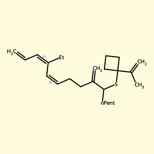 C=C/C=C(\C=C/CCC(=C)C(CCCCC)SC1(C(=C)C)CCC1)CC